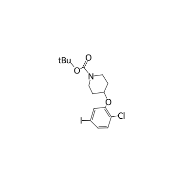 CC(C)(C)OC(=O)N1CCC(Oc2cc(I)ccc2Cl)CC1